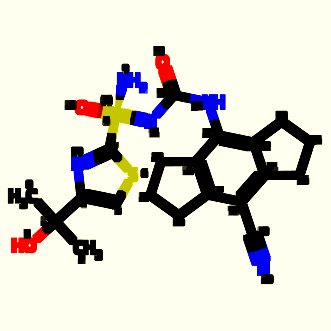 CC(C)(O)c1csc([S@](N)(=O)=NC(=O)Nc2c3c(c(C#N)c4c2CCC4)CCC3)n1